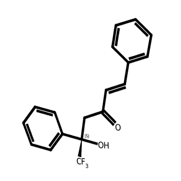 O=C(C=Cc1ccccc1)C[C@](O)(c1ccccc1)C(F)(F)F